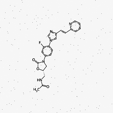 CC(=O)NC[C@H]1CN(c2ccc(-n3cnc(C=Cc4ccccn4)c3)c(F)c2)C(=O)O1